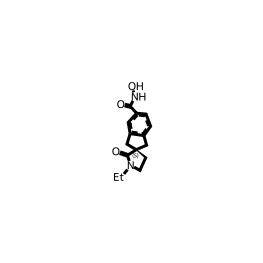 CCN1CC[C@@]2(Cc3ccc(C(=O)NO)cc3C2)C1=O